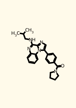 CC(C)CNc1nc2ccccc2n2c(-c3ccc(C(=O)N4CCCC4)cc3)cnc12